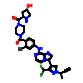 C#CC(C)n1cc(-c2cnc3c(Nc4ccc(C(=O)N5CCN(C(=O)[C@H]6C[C@H](O)CN6)CC5)c(CC)c4)nccn23)c(C(F)F)n1